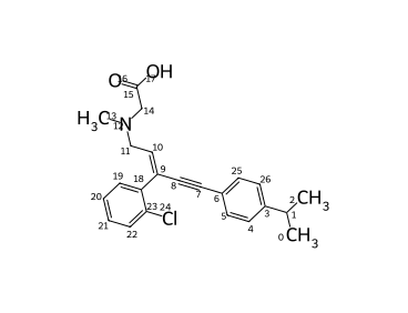 CC(C)c1ccc(C#CC(=CCN(C)CC(=O)O)c2ccccc2Cl)cc1